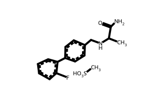 CC(NCc1ccc(-c2ccccc2F)cc1)C(N)=O.CS(=O)(=O)O